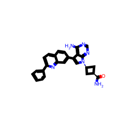 Nc1ncnc2c1c(-c1ccc3ccc(-c4ccccc4)nc3c1)cn2[C@H]1C[C@H](C(N)=O)C1